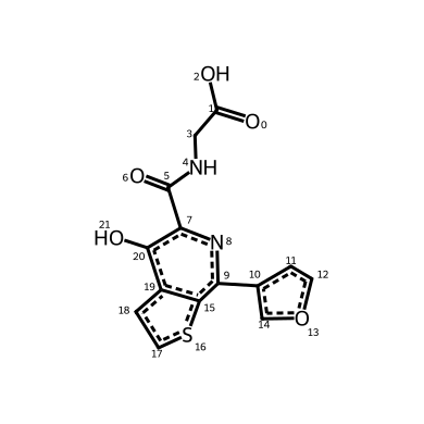 O=C(O)CNC(=O)c1nc(-c2ccoc2)c2sccc2c1O